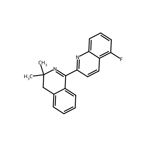 CC1(C)Cc2ccccc2C(c2ccc3c(F)cccc3n2)=N1